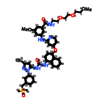 COCCOCCOCCNC(=O)c1cc(Nc2cc(Oc3ccc(NC(=O)Nc4cc(C(C)(C)C)nn4-c4cccc(CP(C)(C)=O)c4)c4ccccc34)ccn2)cc(OC)c1